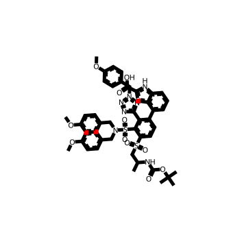 COc1ccc(CN(Cc2ccc(OC)cc2)S(=O)(=O)c2c(S(=O)(=O)CC(C)NC(=O)OC(C)(C)C)ccc(-c3cccc4[nH]c(C(=O)O)nc34)c2-c2nnn(Cc3ccc(OC)cc3)n2)cc1